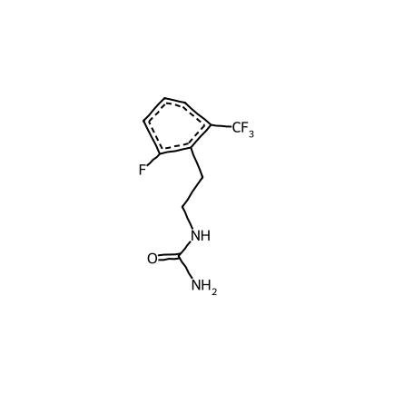 NC(=O)NCCc1c(F)cccc1C(F)(F)F